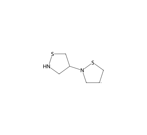 [CH]1CSN(C2CNSC2)C1